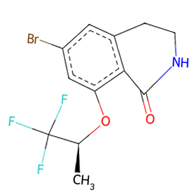 C[C@H](Oc1cc(Br)cc2c1C(=O)NCC2)C(F)(F)F